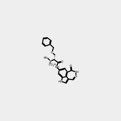 CC(C)(C)N(C(=O)O)[C@H](COCc1ccccc1)C(=O)Nc1cc2c3c(c[nH]c3c1)C=NNC2=O